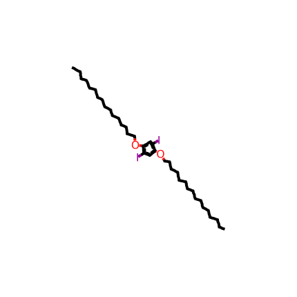 CCCCCCCCCCCCCCCCOc1cc(I)c(OCCCCCCCCCCCCCCCC)cc1I